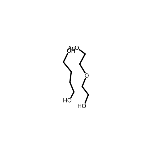 CC(=O)OCCOCCO.OCCCCO